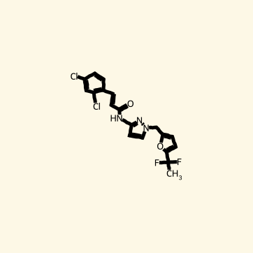 CC(F)(F)c1ccc(Cn2ccc(NC(=O)C=Cc3ccc(Cl)cc3Cl)n2)o1